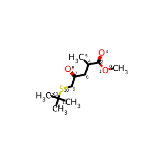 COC(=O)C(C)CC(=O)CSC(C)(C)C